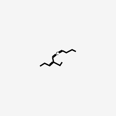 CCC=C(C=C=CCCC)CC